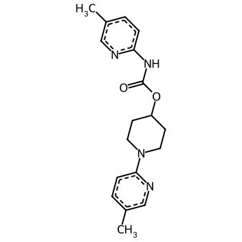 Cc1ccc(NC(=O)OC2CCN(c3ccc(C)cn3)CC2)nc1